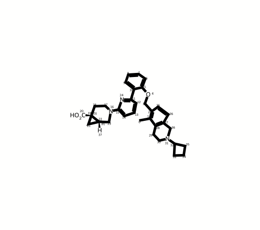 Cc1c(COc2ccccc2-c2cccc(N3CC[C@@]4(C(=O)O)C[C@H]4C3)n2)ccc2c1CCN(C1CCC1)C2